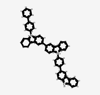 C1=Cc2c(c3cc(-c4ccc5c(c4)c4ccccc4n5-c4ccc(-c5ccc6oc7ccccc7c6c5)cc4)ccc3n2-c2ccc(-c3ccccc3)cc2)CC1